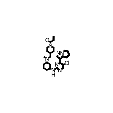 C=CC(=O)N1CCC(CN(C)[C@H]2CCC[C@@H](Nc3ncc(Cl)c(-c4cnn5ccccc45)n3)C2)CC1